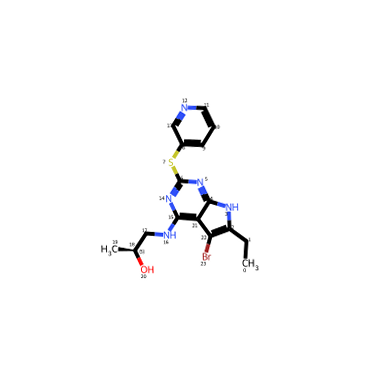 CCc1[nH]c2nc(Sc3cccnc3)nc(NC[C@H](C)O)c2c1Br